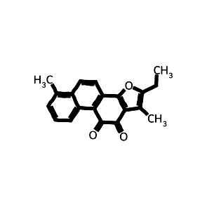 CCc1oc2c(c1C)C(=O)C(=O)c1c-2ccc2c(C)cccc12